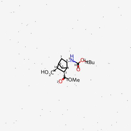 COC(=O)[C@@H]1C2CC(C[C@@H]2NC(=O)OC(C)(C)C)[C@@H]1C(=O)O